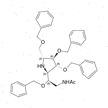 CC(=O)NC[C@@H](OCc1ccccc1)[C@H]1N[C@H](COCc2ccccc2)[C@@H](OCc2ccccc2)[C@@H]1OCc1ccccc1